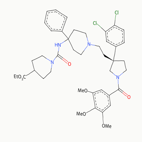 CCOC(=O)C1CCN(C(=O)NC2(c3ccccc3)CCN(CC[C@@]3(c4ccc(Cl)c(Cl)c4)CCN(C(=O)c4cc(OC)c(OC)c(OC)c4)C3)CC2)CC1